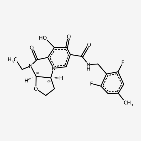 CCN1C(=O)c2c(O)c(=O)c(C(=O)NCc3c(F)cc(C)cc3F)cn2[C@H]2CCO[C@H]21